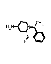 C[C@H](c1ccccc1)N1CC[C@H](N)C[C@H]1CF